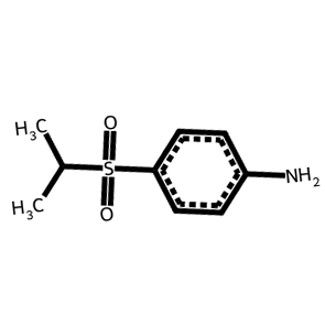 CC(C)S(=O)(=O)c1ccc(N)cc1